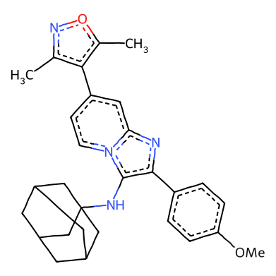 COc1ccc(-c2nc3cc(-c4c(C)noc4C)ccn3c2NC23CC4CC(CC(C4)C2)C3)cc1